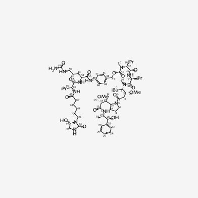 CC[C@H](C)[C@@H]([C@@H](CC(=O)N1CCC[C@H]1[C@H](OC)[C@@H](C)C(=O)N[C@H](C)[C@@H](O)c1ccccc1)OC)N(C)C(=O)[C@@H](NC(=O)[C@H](C(C)C)N(C)C(=O)OCc1ccc(NC(=O)[C@H](CCCNC(N)=O)NC(=O)[C@@H](NC(=O)CCCCCN2C(=O)NCC2O)C(C)C)cc1)C(C)C